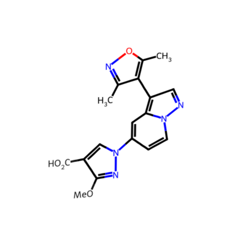 COc1nn(-c2ccn3ncc(-c4c(C)noc4C)c3c2)cc1C(=O)O